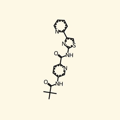 CC(C)(C)C(=O)Nc1ccc(C(=O)Nc2nc(-c3ccccn3)cs2)nc1